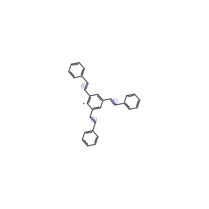 [c]1c(/C=C/c2ccccc2)cc(/C=C/c2ccccc2)cc1/C=C/c1ccccc1